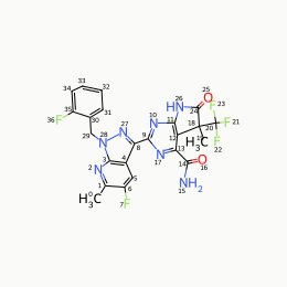 Cc1nc2c(cc1F)c(-c1nc3c(c(C(N)=O)n1)C(C)(C(F)(F)F)C(=O)N3)nn2Cc1ccccc1F